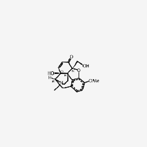 COc1ccc2c3c1O[C@@]1(CO)C(=O)C=C[C@@]4(O)[C@@H](C2)N(C)CC[C@]314